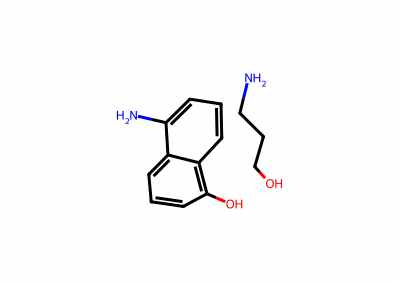 NCCCO.Nc1cccc2c(O)cccc12